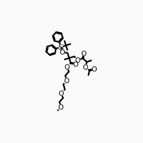 COCCOCCOCCOC(=O)C(C)(COC(=O)C(C)OC(C)=O)CO[Si](c1ccccc1)(c1ccccc1)C(C)(C)C